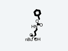 CCCCP(=O)(O)CCCNC(=O)OCc1ccccc1